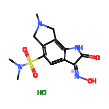 CN1Cc2c(S(=O)(=O)N(C)C)cc3c(c2C1)NC(=O)/C3=N\O.Cl